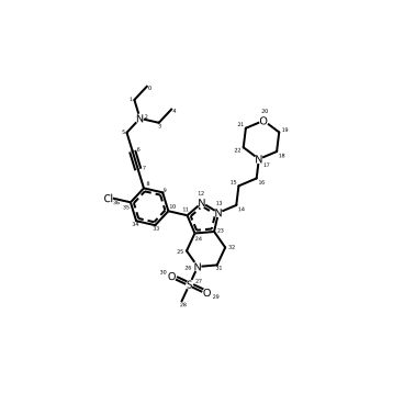 CCN(CC)CC#Cc1cc(-c2nn(CCCN3CCOCC3)c3c2CN(S(C)(=O)=O)CC3)ccc1Cl